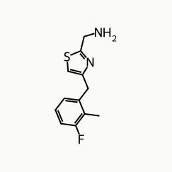 Cc1c(F)cccc1Cc1csc(CN)n1